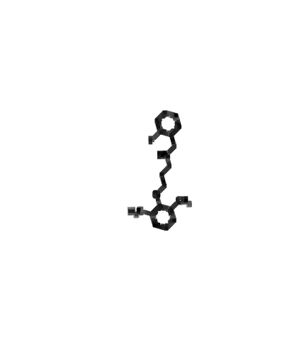 Cc1cccc(C)c1OCCCNCc1ccccc1F